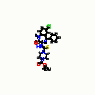 CN1C(=O)C(NC(=S)N2CCN(C(=O)OC(C)(C)C)CC2)N=C(c2ccccc2)c2cc(Cl)ccc21